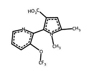 Cc1cc(C(=O)O)c(-c2ncccc2OC(F)(F)F)n1C